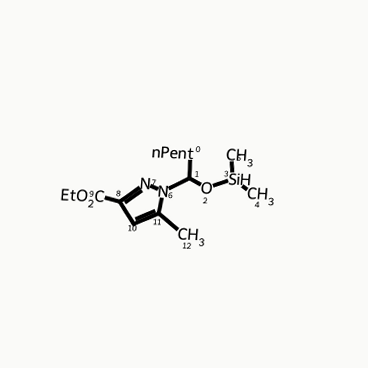 CCCCCC(O[SiH](C)C)n1nc(C(=O)OCC)cc1C